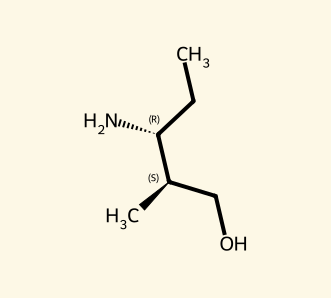 CC[C@@H](N)[C@H](C)CO